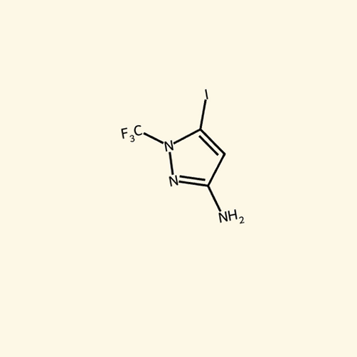 Nc1cc(I)n(C(F)(F)F)n1